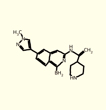 Bc1nc(NC(=C)C2CCNCC2)cc2cc(-c3cnn(C)c3)ccc12